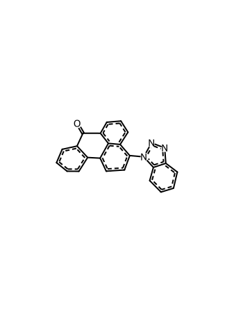 O=C1c2ccccc2-c2ccc(-n3nnc4ccccc43)c3cccc1c23